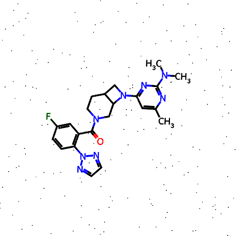 Cc1cc(N2CC3CCN(C(=O)c4cc(F)ccc4-n4nccn4)CC32)nc(N(C)C)n1